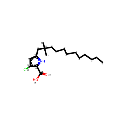 CCCCCCCCCCC(C)(C)Cc1cc(Cl)c(C(=O)O)[nH]1